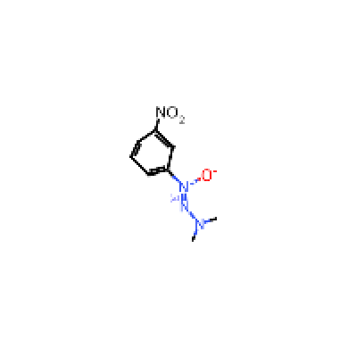 CN(C)/N=[N+](\[O-])c1cccc([N+](=O)[O-])c1